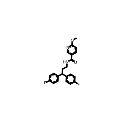 COc1ccc(C(=O)NCCC(c2ccc(F)cc2)c2ccc(F)cc2)cn1